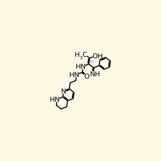 C/C(O)=C(\NC(=O)NCCc1ccc2c(n1)NCCC2)C(=N)c1ccccc1